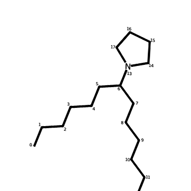 CCCCCCC(CCCCCC)N1CCCC1